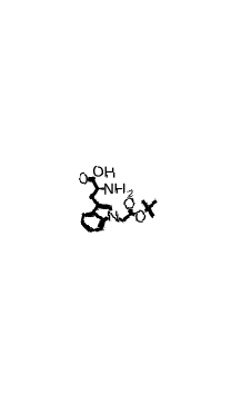 CC(C)(C)OC(=O)Cn1cc(C[C@H](N)C(=O)O)c2ccccc21